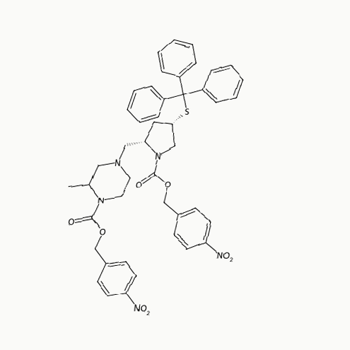 CC1CN(C[C@@H]2C[C@H](SC(c3ccccc3)(c3ccccc3)c3ccccc3)CN2C(=O)OCc2ccc([N+](=O)[O-])cc2)CCN1C(=O)OCc1ccc([N+](=O)[O-])cc1